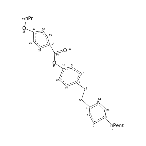 CCCCCc1ccc(CCc2ccc(OC(=O)c3ccc(OCCC)cc3)cc2)nc1